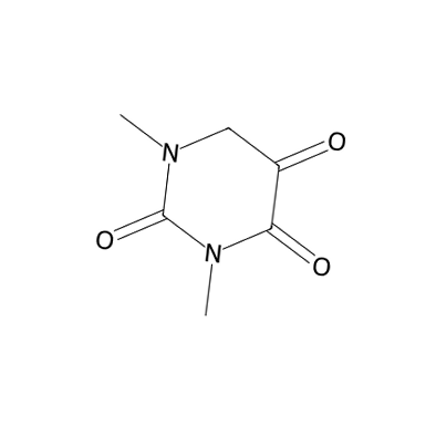 CN1CC(=O)C(=O)N(C)C1=O